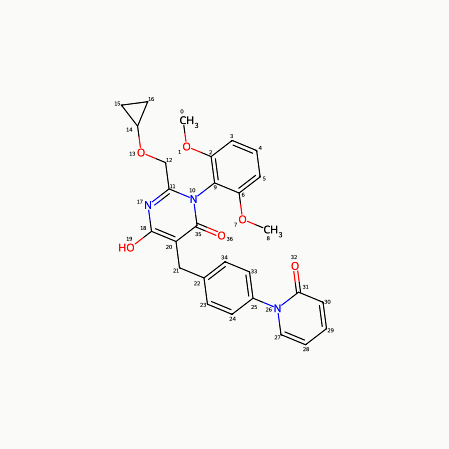 COc1cccc(OC)c1-n1c(COC2CC2)nc(O)c(Cc2ccc(-n3ccccc3=O)cc2)c1=O